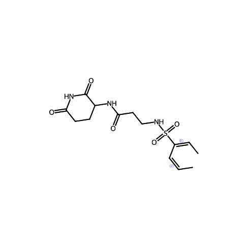 C/C=C\C(=C/C)S(=O)(=O)NCCC(=O)NC1CCC(=O)NC1=O